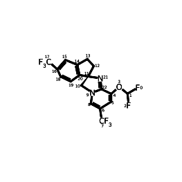 FC(F)OC1=CC(C(F)(F)F)=CN2C[C@@]3(CCc4cc(C(F)(F)F)ccc43)N=C12